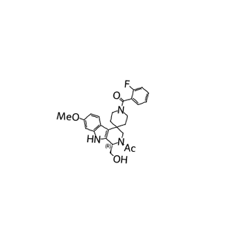 COc1ccc2c3c([nH]c2c1)[C@H](CO)N(C(C)=O)CC31CCN(C(=O)c2ccccc2F)CC1